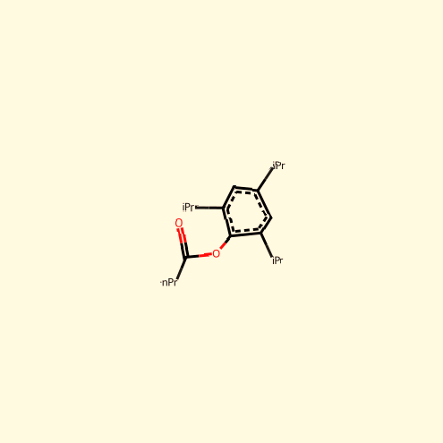 CC[CH]C(=O)Oc1c(C(C)C)cc(C(C)C)cc1C(C)C